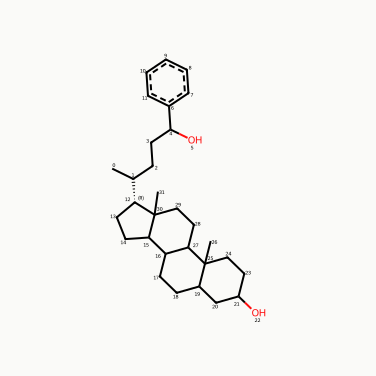 CC(CCC(O)c1ccccc1)[C@H]1CCC2C3CCC4CC(O)CCC4(C)C3CCC21C